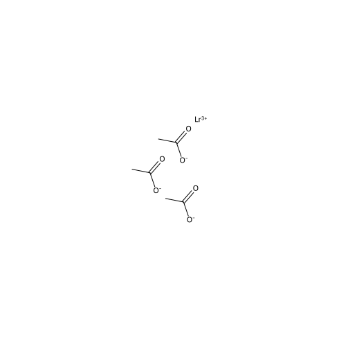 CC(=O)[O-].CC(=O)[O-].CC(=O)[O-].[Lr+3]